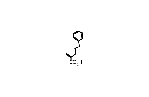 C=C(CCCc1ccccc1)C(=O)O